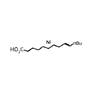 CCCCC=CCCCCCCCC(=O)O.[Ni]